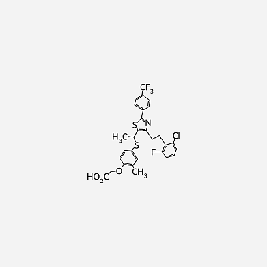 Cc1cc(S[C@@H](C)c2sc(-c3ccc(C(F)(F)F)cc3)nc2CCc2c(F)cccc2Cl)ccc1OCC(=O)O